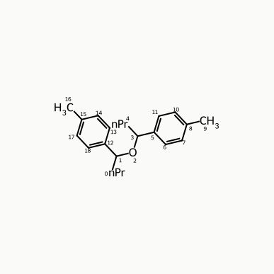 CCCC(OC(CCC)c1ccc(C)cc1)c1ccc(C)cc1